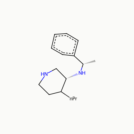 CCCC1CCNC[C@@H]1N[C@@H](C)c1ccccc1